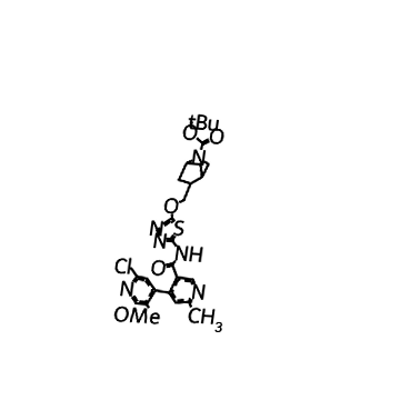 COc1cnc(Cl)cc1-c1cc(C)ncc1C(=O)Nc1nnc(OCC2CC3CC2CN3C(=O)OC(C)(C)C)s1